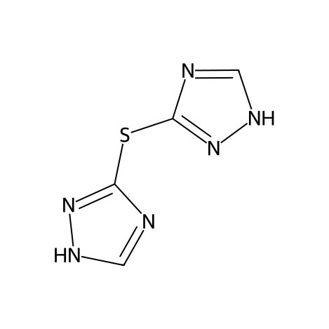 c1nc(Sc2nc[nH]n2)n[nH]1